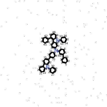 c1ccc(-c2cccc(N(c3ccc(-c4ccc5c6ccccc6n(-c6ccccc6)c5c4)cc3)c3ccc4c5c(-c6ccccc6)cccc5n(-c5ccccc5)c4c3)c2)cc1